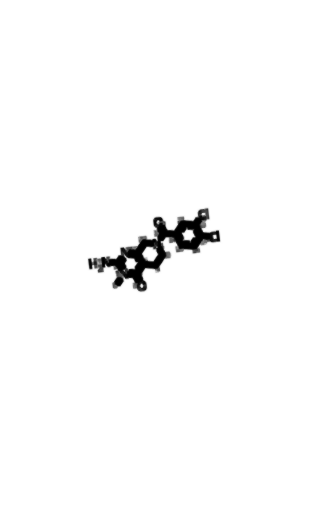 Cn1c(N)nc2c(c1=O)CCN(C(=O)c1ccc(Cl)c(Cl)c1)C2